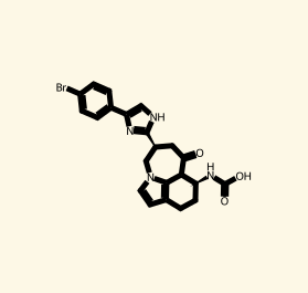 O=C(O)N[C@H]1CCc2ccn3c2C1C(=O)C[C@H](c1nc(-c2ccc(Br)cc2)c[nH]1)C3